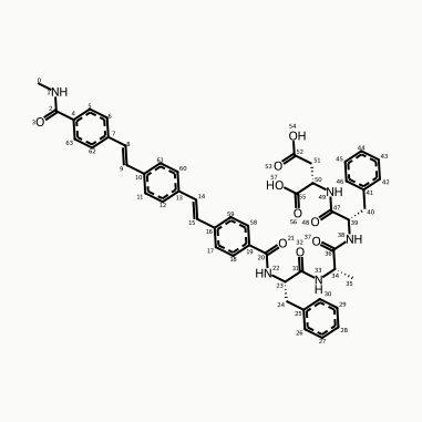 CNC(=O)c1ccc(/C=C/c2ccc(/C=C/c3ccc(C(=O)N[C@@H](Cc4ccccc4)C(=O)N[C@@H](C)C(=O)N[C@@H](Cc4ccccc4)C(=O)N[C@@H](CC(=O)O)C(=O)O)cc3)cc2)cc1